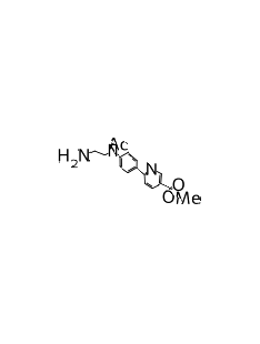 COC(=O)c1ccc(-c2ccc(N(CCN)C(C)=O)cc2)nc1